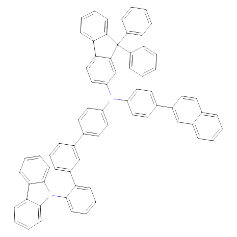 c1ccc(C2(c3ccccc3)c3ccccc3-c3ccc(N(c4ccc(-c5cccc(-c6ccccc6-n6c7ccccc7c7ccccc76)c5)cc4)c4ccc(-c5ccc6ccccc6c5)cc4)cc32)cc1